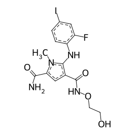 Cn1c(C(N)=O)cc(C(=O)NOCCO)c1Nc1ccc(I)cc1F